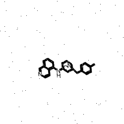 Cc1ccc(CN2CC3(Nc4cccc5cnccc45)CCC2CC3)cc1